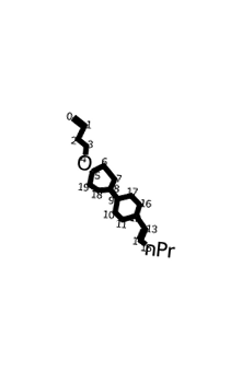 C=CCCOC1CCC(C2CCC(/C=C/CCC)CC2)CC1